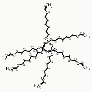 C=COCCCCCCOP1(OCCCCCCOC=C)=NP(OCCCCCCOC=C)(OCCCCCCOC=C)=NP(OCCCCCCOC=C)(OCCCCCCOC=C)=N1